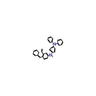 C=Cc1cc(N(C)c2ccc(N(c3ccccc3)c3ccccc3)cc2)ccc1/C=C1/C=CC=CC1